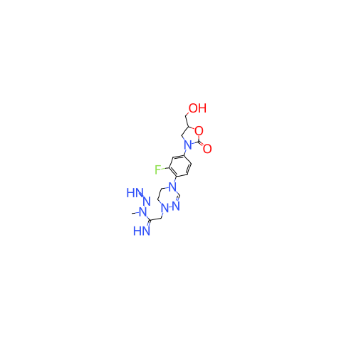 CN(N=N)C(=N)CN1CCN(c2ccc(N3CC(CO)OC3=O)cc2F)C=N1